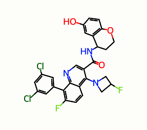 O=C(NC1CCOc2ccc(O)cc21)c1cnc2c(-c3cc(Cl)cc(Cl)c3)c(F)ccc2c1N1CC(F)C1